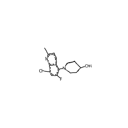 Cc1ccc2c(N3CCC(O)CC3)c(F)cc(Cl)c2n1